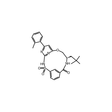 Cc1ccccc1-c1cc2nc(n1)NS(=O)(=O)c1cccc(c1)C(=O)N[C@H](CC(C)(C)C)CO2